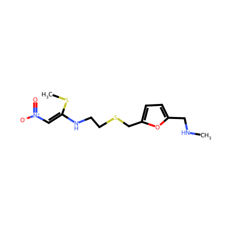 CNCc1ccc(CSCCN/C(=C/[N+](=O)[O-])SC)o1